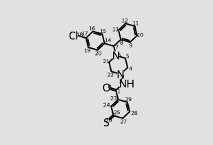 O=C(NN1CCN(C(c2ccccc2)c2ccc(Cl)cc2)CC1)C1=CC(=S)CC=C1